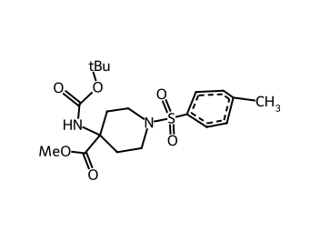 COC(=O)C1(NC(=O)OC(C)(C)C)CCN(S(=O)(=O)c2ccc(C)cc2)CC1